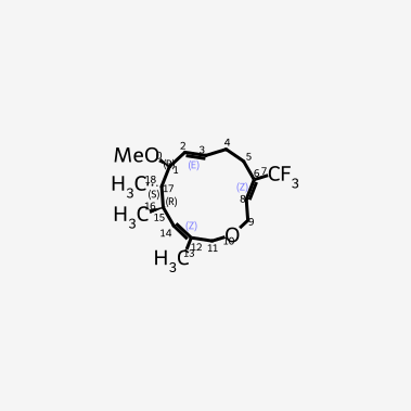 CO[C@H]1/C=C/CC/C(C(F)(F)F)=C/COC/C(C)=C\[C@@H](C)[C@@H]1C